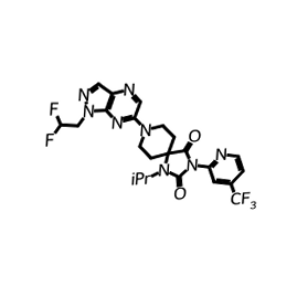 CC(C)N1C(=O)N(c2cc(C(F)(F)F)ccn2)C(=O)C12CCN(c1cnc3cnn(CC(F)F)c3n1)CC2